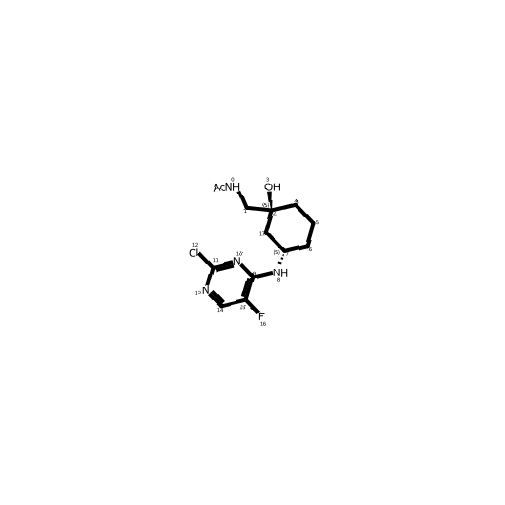 CC(=O)NC[C@]1(O)CCC[C@H](Nc2nc(Cl)ncc2F)C1